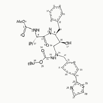 COC(=O)N[C@H](C(=O)N[C@@H](Cc1ccccc1)[C@@H](O)CN(Cc1ccc(-c2nccs2)cc1)NC(=O)OC(C)(C)C)C(C)C